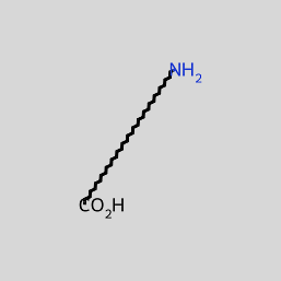 NCCCCCCCCCCCCCCCCCCCCCCCCCCCCCCCCCC(=O)O